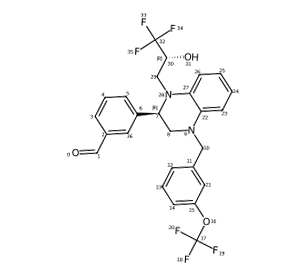 O=Cc1cccc([C@@H]2CN(Cc3cccc(OC(F)(F)F)c3)c3ccccc3N2C[C@@H](O)C(F)(F)F)c1